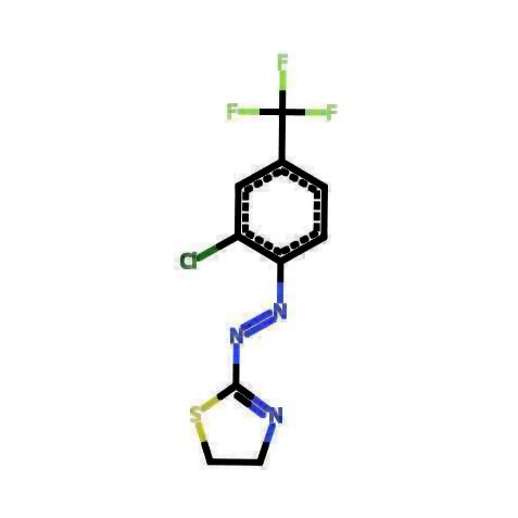 FC(F)(F)c1ccc(N=NC2=NCCS2)c(Cl)c1